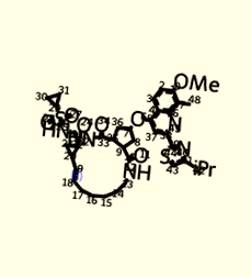 COc1ccc2c(OC3CC4C(=O)NCCCCC/C=C/C5CC5(C(=O)NS(=O)(=O)C5CC5)NC(=O)C4C3)cc(-c3nc(C(C)C)cs3)nc2c1C